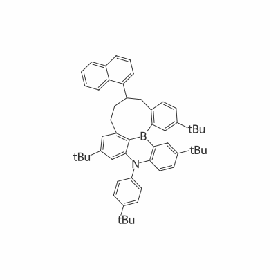 CC(C)(C)c1ccc(N2c3ccc(C(C)(C)C)cc3B3c4cc(C(C)(C)C)ccc4CC(c4cccc5ccccc45)CCc4cc(C(C)(C)C)cc2c43)cc1